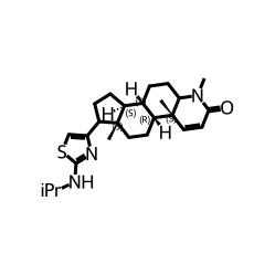 CC(C)Nc1nc(C2CC[C@H]3[C@@H]4CCC5N(C)C(=O)C=C[C@]5(C)[C@@H]4CC[C@]23C)cs1